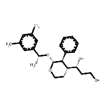 C[C@@H](O[C@H]1OCC[C@@H]([C@H](O)CCO)[C@@H]1c1ccccc1)c1cc(C(F)(F)F)cc(C(F)(F)F)c1